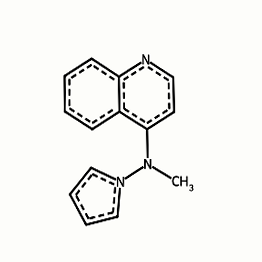 CN(c1ccnc2ccccc12)n1cccc1